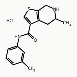 CC1Cc2c(C(=O)Nc3cccc(C(F)(F)F)c3)csc2CN1.Cl